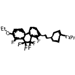 CCCC1CCC(CCc2ccc3c(c2F)C(F)(F)C(F)(F)c2c-3ccc(OCC)c2F)CC1